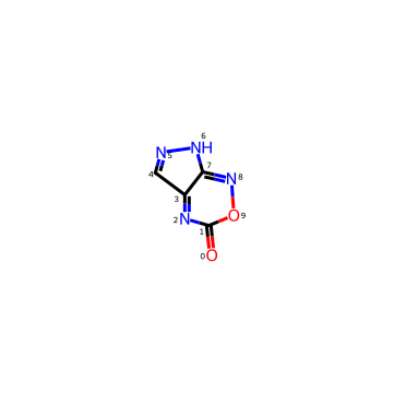 O=c1nc2cn[nH]c2no1